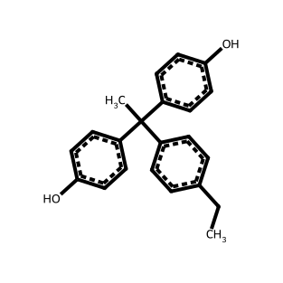 CCc1ccc(C(C)(c2ccc(O)cc2)c2ccc(O)cc2)cc1